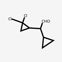 O=[C]C(C1CC1)C1CC1(Cl)Cl